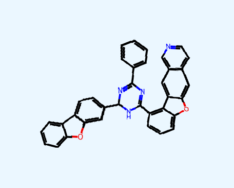 c1ccc(C2=NC(c3ccc4c(c3)oc3ccccc34)NC(c3cccc4oc5cc6ccncc6cc5c34)=N2)cc1